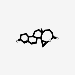 CC12CCCC(=O)OC3=CC3C1C1C=CC3=CC(=O)CCC3C1CC2